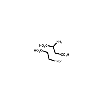 CCCCCCCCCCCC(=O)O.N[C@@H](CC(=O)O)C(=O)O